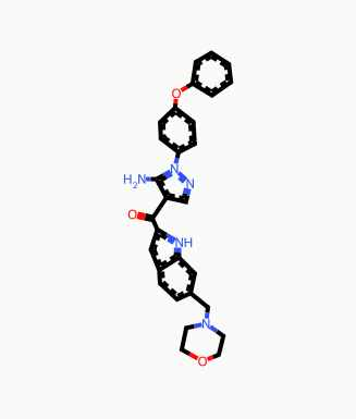 Nc1c(C(=O)c2cc3ccc(CN4CCOCC4)cc3[nH]2)cnn1-c1ccc(Oc2ccccc2)cc1